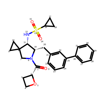 O=C([C@H]1CCO1)N1CC2(CC2)[C@H](NS(=O)(=O)C2CC2)[C@@H]1Cc1cccc(-c2ccccc2)c1